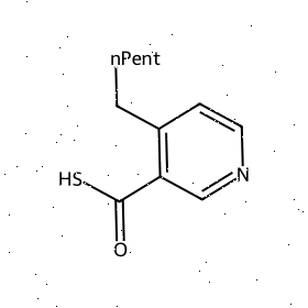 CCCCCCc1ccncc1C(=O)S